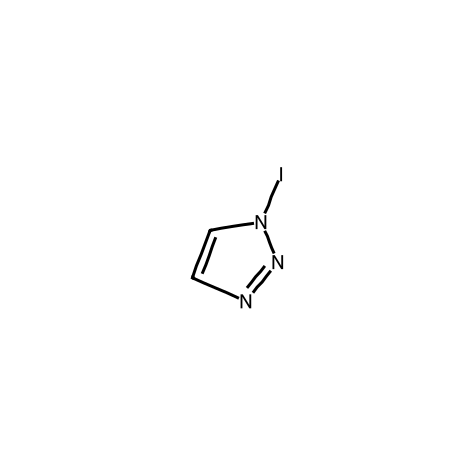 In1ccnn1